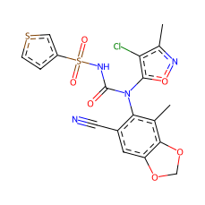 Cc1noc(N(C(=O)NS(=O)(=O)c2ccsc2)c2c(C#N)cc3c(c2C)OCO3)c1Cl